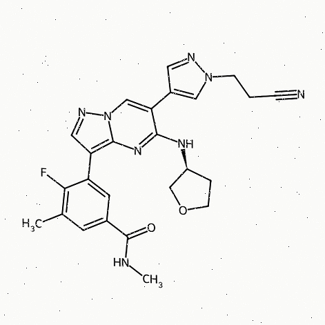 CNC(=O)c1cc(C)c(F)c(-c2cnn3cc(-c4cnn(CCC#N)c4)c(N[C@H]4CCOC4)nc23)c1